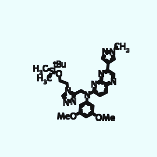 COc1cc(OC)cc(N(Cc2nncn2CCO[Si](C)(C)C(C)(C)C)c2ccc3ncc(-c4cnn(C)c4)nc3n2)c1